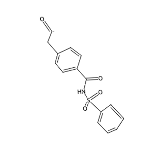 O=[C]Cc1ccc(C(=O)NS(=O)(=O)c2ccccc2)cc1